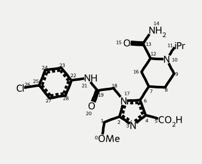 COCc1nc(C(=O)O)c(C2CCN(C(C)C)C(C(N)=O)C2)n1CC(=O)Nc1ccc(Cl)cc1